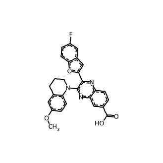 COc1ccc2c(c1)CCCN2c1nc2cc(C(=O)O)ccc2nc1-c1cc2cc(F)ccc2o1